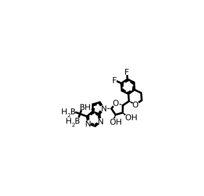 BC(B)(B)c1ncnc2c1ccn2[C@@H]1O[C@H]([C@@H]2OCCc3cc(F)c(F)cc32)[C@@H](O)[C@H]1O